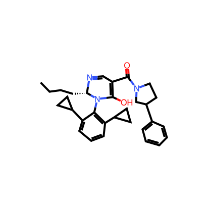 CCCC[C@@H]1N=CC(C(=O)N2CCC(c3ccccc3)C2)=C(O)N1c1c(C2CC2)cccc1C1CC1